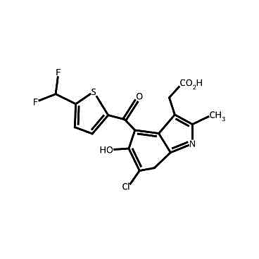 CC1=C(CC(=O)O)C2=C(C(=O)c3ccc(C(F)F)s3)C(O)=C(Cl)CC2=N1